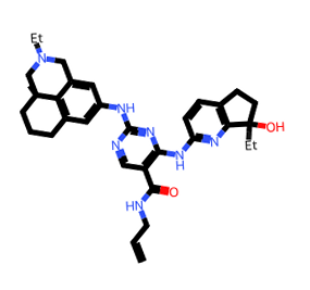 C=CCNC(=O)c1cnc(Nc2cc3c4c(c2)CN(CC)CC4(C)CCC3)nc1Nc1ccc2c(n1)C(O)(CC)CC2